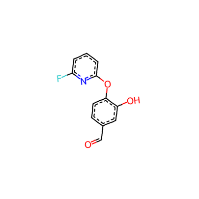 O=Cc1ccc(Oc2cccc(F)n2)c(O)c1